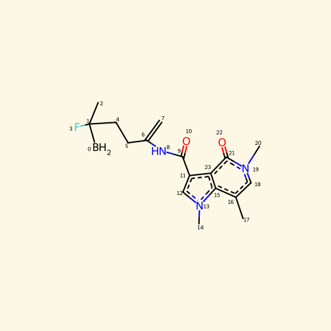 BC(C)(F)CCC(=C)NC(=O)c1cn(C)c2c(C)cn(C)c(=O)c12